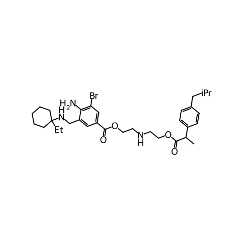 CCC1(NCc2cc(C(=O)OCCNCCOC(=O)C(C)c3ccc(CC(C)C)cc3)cc(Br)c2N)CCCCC1